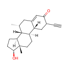 C#CC1C[C@H]2C(=CC1=O)C[C@@H](C)[C@@H]1[C@@H]2CC[C@]2(C)[C@@H](O)CC[C@@H]12